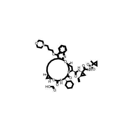 C=C[C@@H]1C[C@]1(NC(=O)[C@@H]1C[C@@H]2CN1C(=O)[C@H](C1CCCCC1)NC(=O)O[C@@H]1C[C@H]1CCCCCc1c(nc3ccccc3c1OCCCN1CCOCC1)O2)C(=O)NS(=O)(=O)C1(C)CC1.O=CO